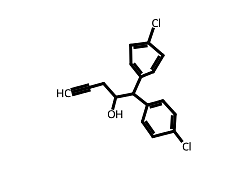 C#CCC(O)C(c1ccc(Cl)cc1)c1ccc(Cl)cc1